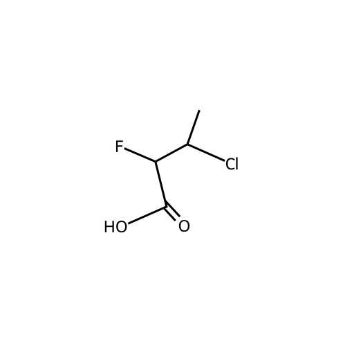 CC(Cl)C(F)C(=O)O